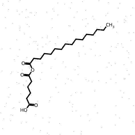 CCCCCCCCCCCCCCCC(=O)OC(=O)CCCCC(=O)O